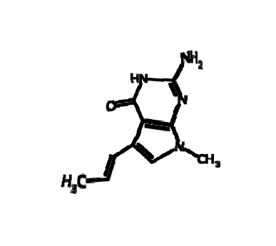 C/C=C/c1cn(C)c2nc(N)[nH]c(=O)c12